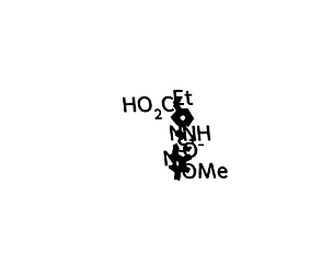 CCC(C(=O)O)c1ccc2[nH]c([S+]([O-])Cc3ncc(C)c(OC)c3C)nc2c1